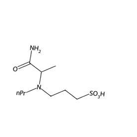 CCCN(CCCS(=O)(=O)O)C(C)C(N)=O